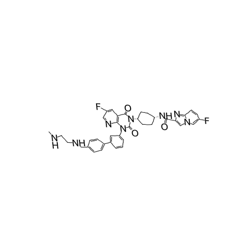 CNCCNCc1ccc(-c2cccc(-n3c(=O)n([C@H]4CC[C@@H](NC(=O)c5cn6cc(F)ccc6n5)CC4)c(=O)c4cc(F)cnc43)c2)cc1